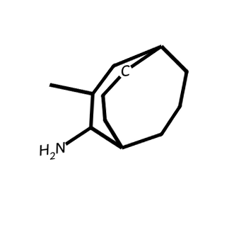 CC1CC2CCCC(CCC2)C1N